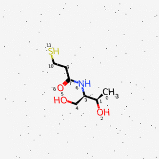 C[C@@H](O)[C@@H](CO)NC(=O)CCS